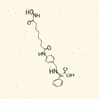 O=C(CCCCCCC(=O)Nc1ccc(CN[C@@H](C(=O)O)c2ccccc2)cc1)NO